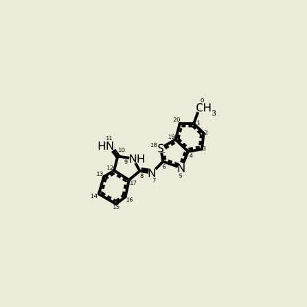 Cc1ccc2nc(N=C3NC(=N)c4ccccc43)sc2c1